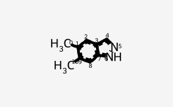 Cc1cc2cn[nH]c2cc1C